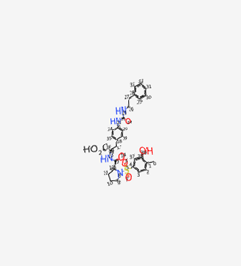 Cc1ccc(S(=O)(=O)N2CCC[C@H]2C(=O)N[C@@H](Cc2ccc(NC(=O)NCCc3ccccc3)cc2)C(=O)O)cc1O